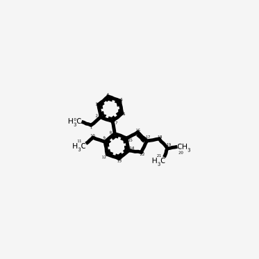 CCc1ccccc1-c1c(CC)ccc2c1C=C(CC(C)C)[CH]2